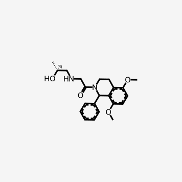 COc1ccc(OC)c2c1CCN(C(=O)CNC[C@@H](C)O)C2c1ccccc1